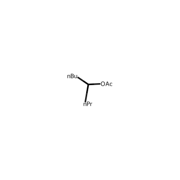 CCCCC(CCC)OC(C)=O